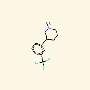 CN1CCCC(c2cc[c]c(C(F)(F)F)c2)C1